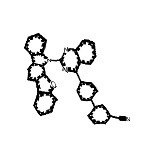 N#Cc1cccc(-c2ccc(-c3nc(-n4c5ccccc5c5ccc6c7ccccc7oc6c54)nc4ccccc34)cc2)c1